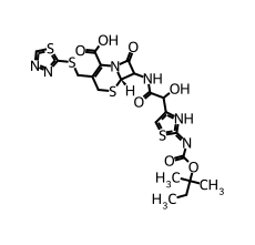 CCC(C)(C)OC(=O)N=c1[nH]c(C(O)C(=O)NC2C(=O)N3C(C(=O)O)=C(CSc4nncs4)CS[C@@H]23)cs1